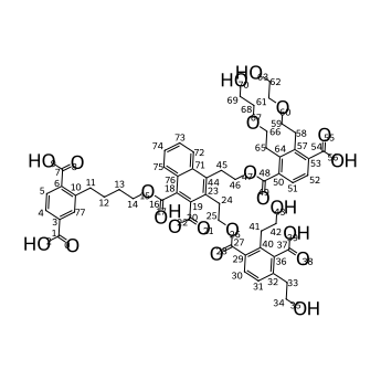 O=C(O)c1ccc(C(=O)O)c(CCCCOC(=O)c2c(C(=O)O)c(CCOC(=O)c3ccc(CCO)c(C(=O)O)c3CCO)c(CCOC(=O)c3ccc(C(=O)O)c(CCOCCO)c3CCOCCO)c3ccccc23)c1